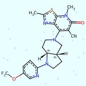 Cc1nc2c(N3CC[C@@H]4[C@@H](CCN4c4ccc(OC(F)(F)F)cn4)C3)c(C#N)c(=O)n(C)c2s1